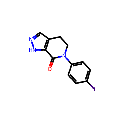 O=C1c2[nH]ncc2CCN1c1ccc(I)cc1